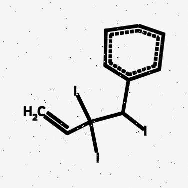 C=CC(I)(I)C(I)c1ccccc1